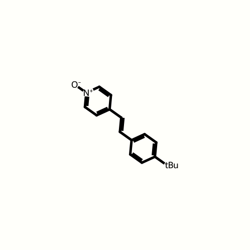 CC(C)(C)c1ccc(/C=C/c2cc[n+]([O-])cc2)cc1